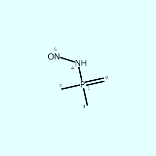 C=P(C)(C)NN=O